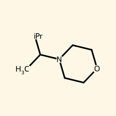 CC(C)C(C)N1CCOCC1